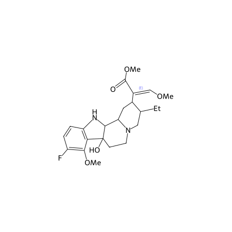 CCC1CN2CCC3(O)c4c(ccc(F)c4OC)NC3C2CC1/C(=C\OC)C(=O)OC